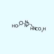 O=C(O)NCC=Cc1cnc(-c2cccc(CO)c2)nc1